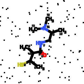 CC(S)C(C)C(=O)NCC(C)N(C)C